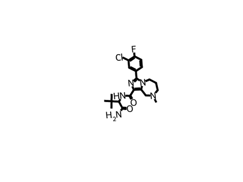 CN1CCCn2c(-c3ccc(F)c(Cl)c3)nc(C(=O)NC(C(N)=O)C(C)(C)C)c2C1